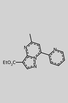 CCOC(=O)c1cnn2c(-c3ccccn3)cc(C)nc12